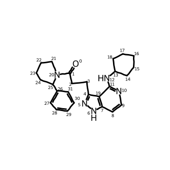 O=C(CCc1n[nH]c2ccnc(NC3CCCCC3)c12)N1CCCCC1c1ccccc1